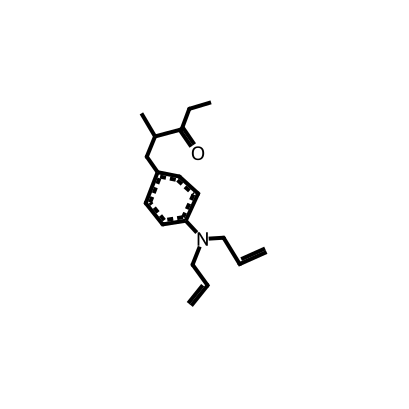 C=CCN(CC=C)c1ccc(CC(C)C(=O)CC)cc1